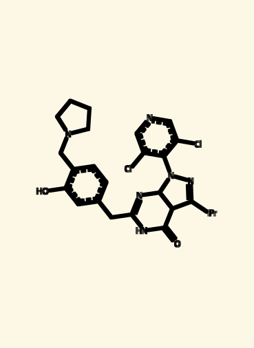 CC(C)C1=NN(c2c(Cl)cncc2Cl)C2N=C(Cc3ccc(CN4CCCC4)c(O)c3)NC(=O)C12